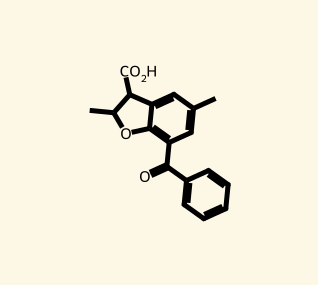 Cc1cc(C(=O)c2ccccc2)c2c(c1)C(C(=O)O)C(C)O2